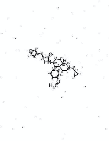 COc1cccc([C@@]23CCN(CC4CC4)C[C@H]2CC[C@H](NC(=O)/C=C/c2ccoc2)C3)c1